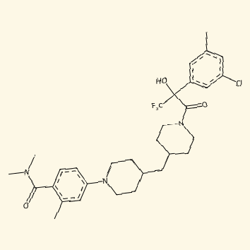 Cc1cc(Cl)cc(C(O)(C(=O)N2CCC(CC3CCN(c4ccc(C(=O)N(C)C)c(C)c4)CC3)CC2)C(F)(F)F)c1